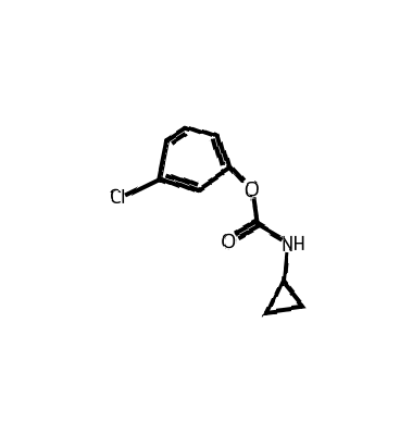 O=C(NC1CC1)Oc1cccc(Cl)c1